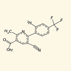 [2H]c1cc(C(F)(F)F)ccc1-c1nc(C)c(C(=O)O)cc1C#N